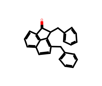 O=C1c2cccc3ccc(Cc4ccccc4)c(c23)C1Cc1ccccc1